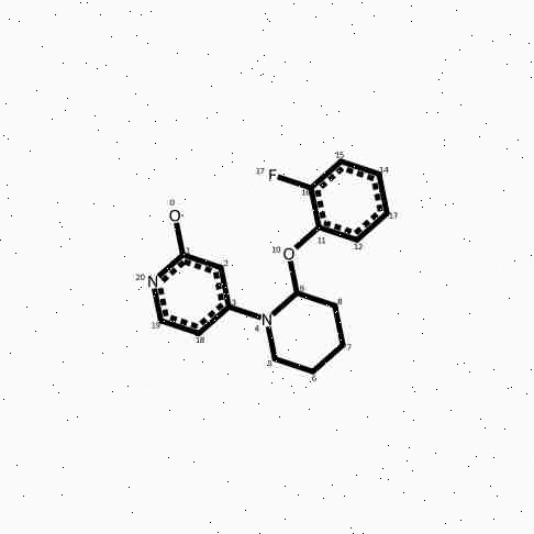 [O]c1cc(N2CCCCC2Oc2ccccc2F)ccn1